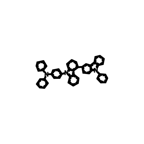 c1ccc(N(c2ccccc2)c2ccc(-n3c4ccccc4c4c(-c5ccc6c(c5)c5ccccc5n6-c5ccccc5)cccc43)cc2)cc1